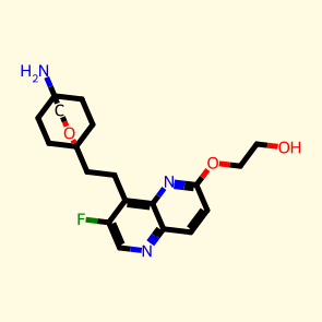 NC12CCC(CCc3c(F)cnc4ccc(OCCO)nc34)(CC1)OC2